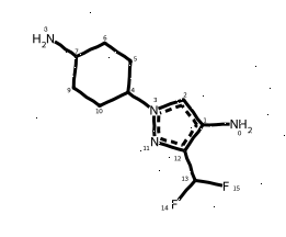 Nc1cn(C2CCC(N)CC2)nc1C(F)F